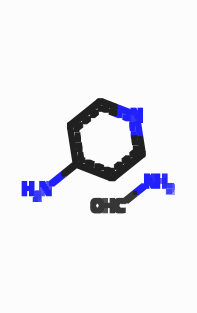 NC=O.Nc1ccncc1